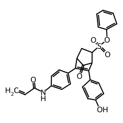 C=CC(=O)Nc1ccc(C2=C(c3ccc(O)cc3)C3C(=O)C2CC3S(=O)(=O)Oc2ccccc2)cc1